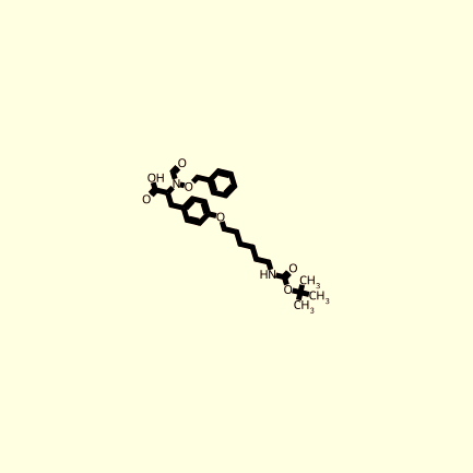 CC(C)(C)OC(=O)NCCCCCCOc1ccc(CC(C(=O)O)N(C=O)OCc2ccccc2)cc1